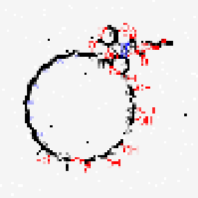 C=CCOC(=O)N[C@@H]1[C@H](O)[C@H](O[C@H]2/C=C/C=C/C=C/C=C/C=C/C=C/C=C/[C@H](C)[C@@H](O)C[C@H](C)OC(=O)C[C@H](O)C[C@H](O)CC[C@@H](O)[C@H](O)C[C@H](O)C[C@]3(O)C[C@H](OC(=O)OCC=C)[C@@H](C(=O)O)[C@H](C2)O3)OC[C@H]1O